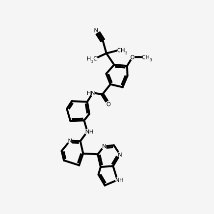 COc1ccc(C(=O)Nc2cccc(Nc3ncccc3-c3ncnc4[nH]ccc34)c2)cc1C(C)(C)C#N